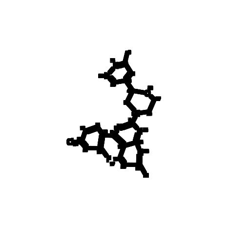 Cc1cc(C2CN(c3nc(-c4ccc(Cl)cc4F)c4ccc(C)nc4n3)CCO2)cnn1